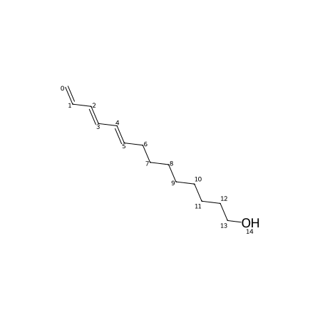 C=C/C=C/C=C/CCCCCCCCO